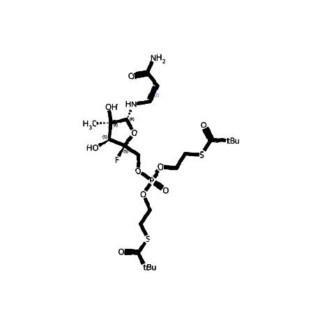 CC(C)(C)C(=O)SCCOP(=O)(OCCSC(=O)C(C)(C)C)OC[C@@]1(F)O[C@@H](N/C=C\C(N)=O)[C@](C)(O)[C@@H]1O